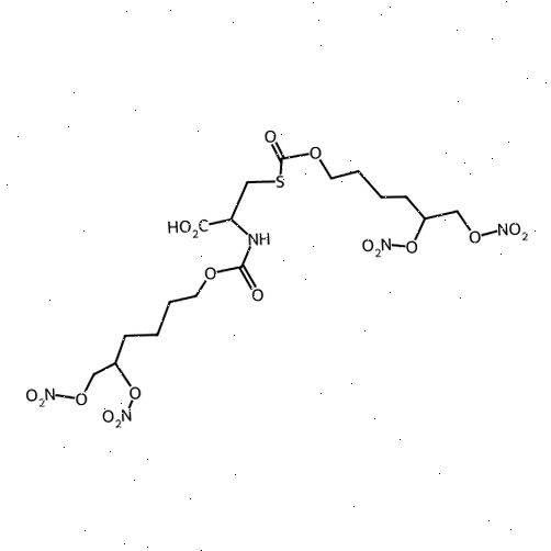 O=C(NC(CSC(=O)OCCCCC(CO[N+](=O)[O-])O[N+](=O)[O-])C(=O)O)OCCCCC(CO[N+](=O)[O-])O[N+](=O)[O-]